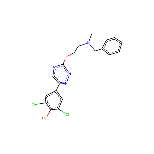 CN(CCOc1ncc(-c2cc(Cl)c(O)c(Cl)c2)nn1)Cc1ccccc1